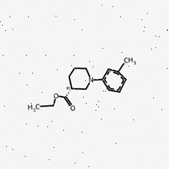 CCOC(=O)[C@@H]1CCCN(c2cccc(C)c2)C1